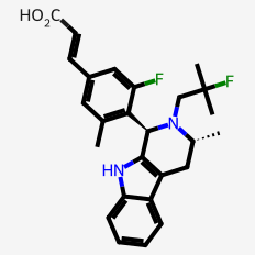 Cc1cc(/C=C/C(=O)O)cc(F)c1[C@@H]1c2[nH]c3ccccc3c2C[C@@H](C)N1CC(C)(C)F